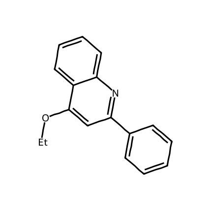 CCOc1cc(-c2ccccc2)nc2ccccc12